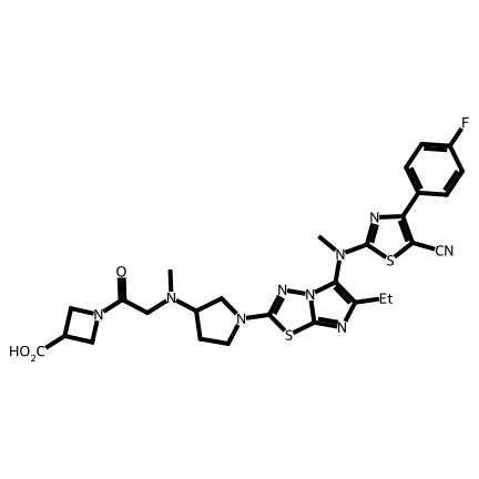 CCc1nc2sc(N3CCC(N(C)CC(=O)N4CC(C(=O)O)C4)C3)nn2c1N(C)c1nc(-c2ccc(F)cc2)c(C#N)s1